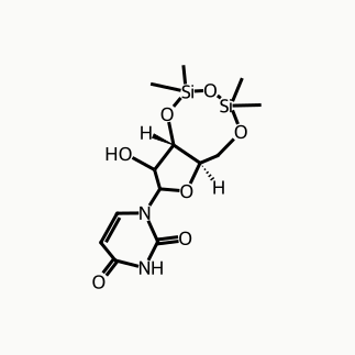 C[Si]1(C)OC[C@H]2OC(n3ccc(=O)[nH]c3=O)C(O)[C@@H]2O[Si](C)(C)O1